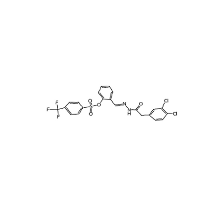 O=C(Cc1ccc(Cl)c(Cl)c1)N/N=C/c1ccccc1OS(=O)(=O)c1ccc(C(F)(F)F)cc1